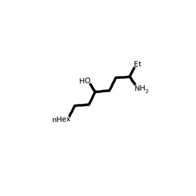 CCCCCCCCC(O)CCC(N)CC